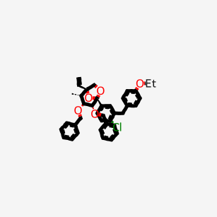 C=C[C@@]12CO[C@@](c3ccc(Cl)c(Cc4ccc(OCC)cc4)c3)(O1)[C@H](OCc1ccccc1)[C@@H](OCc1ccccc1)[C@@H]2C